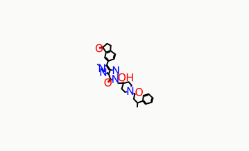 CC(CC(=O)N1CCC(O)(Cn2cnc3c(-c4ccc5c(c4)C(=O)CC5)n(C)nc3c2=O)CC1)c1ccccc1